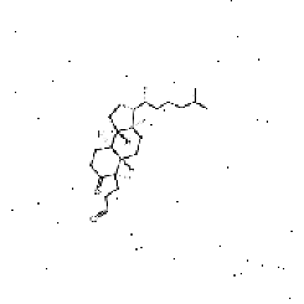 CC(C)CCC[C@@H](C)[C@H]1CC[C@H]2[C@@H]3CCC(=O)[C@](C)(CCC=O)[C@H]3CC[C@]12C